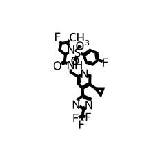 CC1C(F)CC(C(=O)NCc2cc(-c3cnc(C(F)(F)F)nc3)c(C3CC3)cn2)N1S(=O)(=O)c1ccc(F)cc1